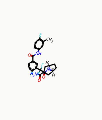 Cc1cc(NC(=O)c2ccc(F)c(C(F)(F)C(=O)N3[C@@H]4CC[C@H]3CC(C(N)=O)C4)c2)ccc1F